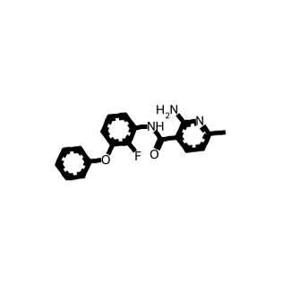 Cc1ccc(C(=O)Nc2cccc(Oc3ccccc3)c2F)c(N)n1